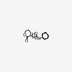 O=C(Nc1ccccc1)NN1CCCOC1=O